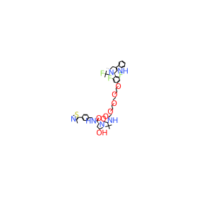 Cc1ncsc1-c1ccc(CNC(=O)[C@@H]2C[C@@H](O)CN2C(=O)[C@@H](NC(=O)COCCOCCOCCOc2cc(F)c([C@@H]3c4[nH]c5ccccc5c4C[C@@H](C)N3CC(C)(C)F)c(F)c2)C(C)(C)C)cc1